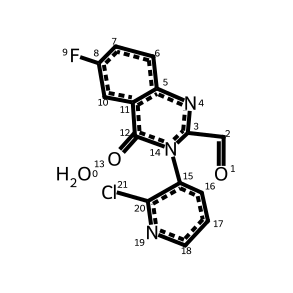 O.O=Cc1nc2ccc(F)cc2c(=O)n1-c1cccnc1Cl